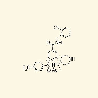 CC(=O)[N+]1(S(=O)(=O)c2ccc(C(F)(F)F)cc2)c2ccc(C(=O)NCc3ccccc3Cl)cc2C2(CCNCC2)C1C